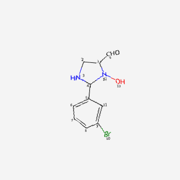 O=CC1CNC(c2cccc(Br)c2)N1O